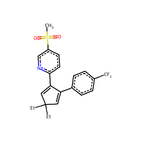 CCC1(CC)C=C(c2ccc(C(F)(F)F)cc2)C(c2ccc(S(C)(=O)=O)cn2)=C1